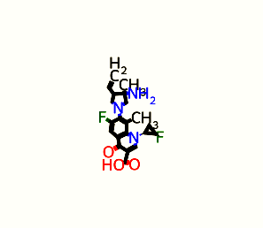 C=CC1CN(c2c(F)cc3c(=O)c(C(=O)O)cn([C@@H]4C[C@@H]4F)c3c2C)CC1(C)N